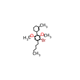 CCCCCc1cc(OC)c(C2C=C(C)CCC2)c(OC)c1Br